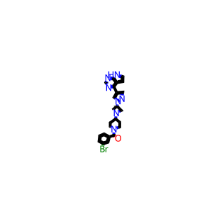 O=C(c1cccc(Br)c1)N1CCC(N2C[C](n3cc(-c4ncnc5[nH]ccc45)cn3)C2)CC1